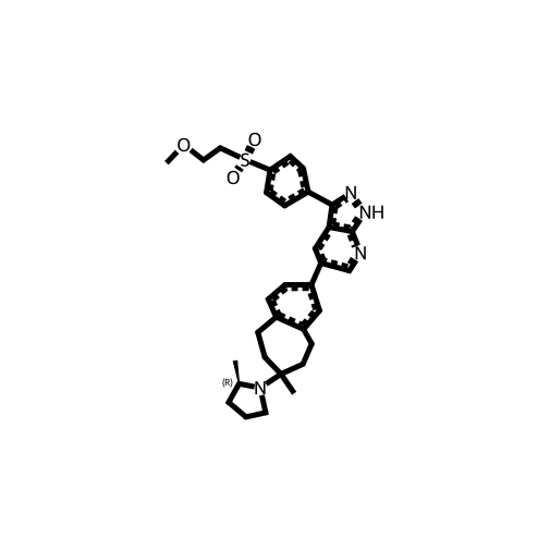 COCCS(=O)(=O)c1ccc(-c2n[nH]c3ncc(-c4ccc5c(c4)CCC(C)(N4CCC[C@H]4C)CC5)cc23)cc1